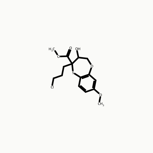 COC(=O)C1(CCCCl)Sc2ccc(OC)cc2OCC1O